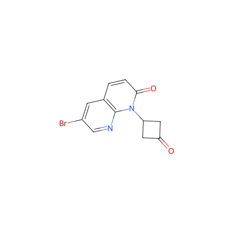 O=C1CC(n2c(=O)ccc3cc(Br)cnc32)C1